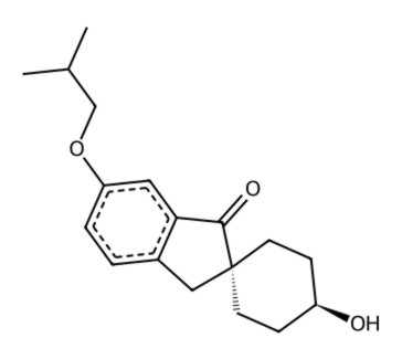 CC(C)COc1ccc2c(c1)C(=O)[C@]1(CC[C@H](O)CC1)C2